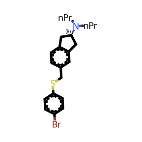 CCCN(CCC)[C@@H]1Cc2ccc(CSc3ccc(Br)cc3)cc2C1